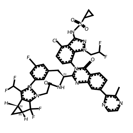 Cc1nccnc1-c1ccc2c(=O)n(-c3ccc(Cl)c4c(NS(=O)(=O)C5CC5)nn(CC(F)F)c34)c([C@H](Cc3cc(F)cc(F)c3)NC(=O)Cn3nc(C(F)F)c4c3C(F)(F)[C@@H]3C[C@H]43)nc2c1